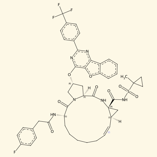 CC1(S(=O)(=O)NC(=O)[C@@]23C[C@H]2/C=C\CCCCC[C@H](NC(=O)Cc2ccc(F)cc2)C(=O)N2C[C@H](Oc4nc(-c5ccc(C(F)(F)F)cc5)nc5c4oc4ccccc45)C[C@H]2C(=O)N3)CC1